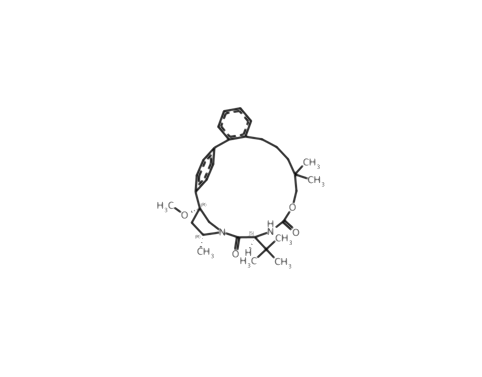 CO[C@@]12C[C@@H](C)N(C1)C(=O)[C@H](C(C)(C)C)NC(=O)OCC(C)(C)CCCc1ccccc1-c1ccc2cc1